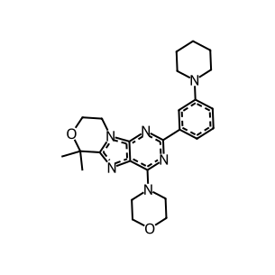 CC1(C)OCCn2c1nc1c(N3CCOCC3)nc(-c3cccc(N4CCCCC4)c3)nc12